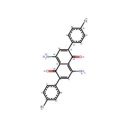 CCc1ccc(C2=CC(N)=C3C(=O)C(c4ccc(CC)cc4)=CC(N)=C3C2=O)cc1